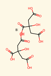 O=C(O)CC(O)(CC(=O)O)C(=O)O.O=C(O)CC(O)(CC(=O)O)C(=O)O.[B]